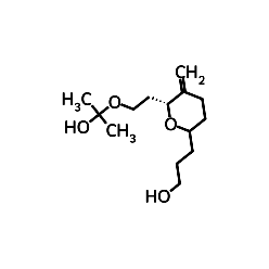 C=C1CCC(CCCO)O[C@@H]1CCOC(C)(C)O